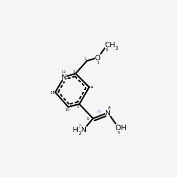 COCc1cc(/C(N)=N/O)ccn1